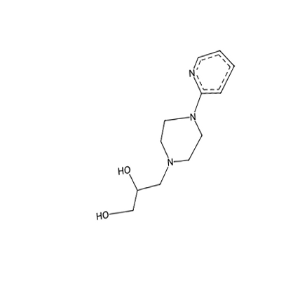 OCC(O)CN1CCN(c2ccccn2)CC1